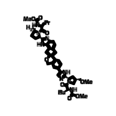 CC[C@H](C)[C@H](NC(=O)OC)C(=O)N1C[C@@H](COC)C[C@H]1c1ncc(-c2ccc3c(c2)COc2cc4c(ccc5nc([C@@H]6CC[C@H](C)N6C(=O)C(NC(=O)OC)C(C)C)[nH]c54)cc2-3)[nH]1